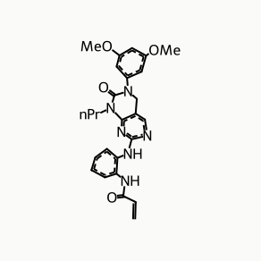 C=CC(=O)Nc1ccccc1Nc1ncc2c(n1)N(CCC)C(=O)N(c1cc(OC)cc(OC)c1)C2